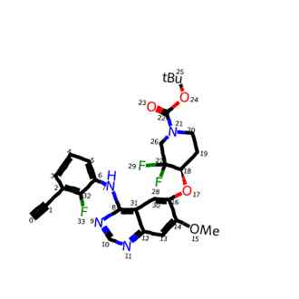 C#Cc1cccc(Nc2ncnc3cc(OC)c(O[C@@H]4CCN(C(=O)OC(C)(C)C)CC4(F)F)cc23)c1F